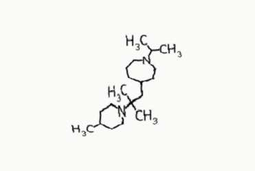 CC1CCN(C(C)(C)CC2CCCN(C(C)C)CC2)CC1